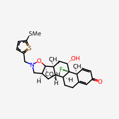 CSc1ccc(CN2C[C@@H]3C[C@H]4[C@@H]5CCC6=CC(=O)C=C[C@]6(C)[C@@]5(F)[C@@H](O)C[C@]4(C)[C@]3(C(=O)O)O2)s1